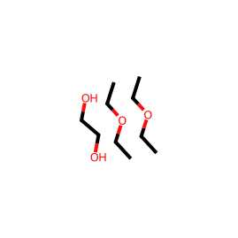 CCOCC.CCOCC.OCCO